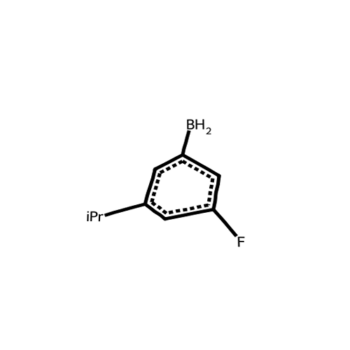 Bc1cc(F)cc(C(C)C)c1